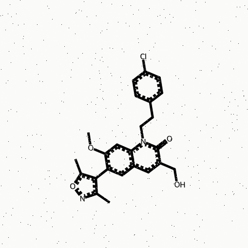 COc1cc2c(cc1-c1c(C)noc1C)cc(CO)c(=O)n2CCc1ccc(Cl)cc1